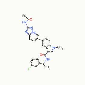 CC(C)C(=O)Nc1nc2ccc(-c3ccc4c(c3)c(C(=O)NC(C)c3cccc(F)c3)cn4C)cn2n1